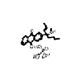 CCCCC(CCC)(NC)c1ccc2c(c1)C(=O)c1ccccc1C2=O.O=P(O)(O)O